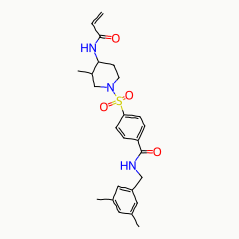 C=CC(=O)NC1CCN(S(=O)(=O)c2ccc(C(=O)NCc3cc(C)cc(C)c3)cc2)CC1C